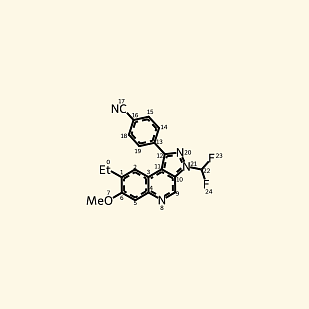 CCc1cc2c(cc1OC)ncc1c2c(-c2ccc(C#N)cc2)nn1C(F)F